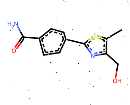 Cc1sc(-c2ccc(C(N)=O)cc2)nc1CO